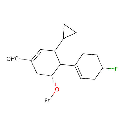 CCO[C@@H]1CC(C=O)=CC(C2CC2)C1C1=CCC(F)CC1